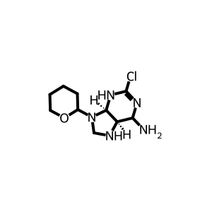 NC1N=C(Cl)N[C@H]2[C@@H]1NCN2C1CCCCO1